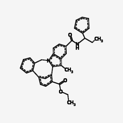 CCOC(=O)c1ccc2cc1-c1c(C)c3cc(C(=O)NC(CC)c4ccccc4)ccc3n1Cc1ccccc1-2